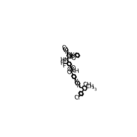 CC1(C)CCC(c2ccc(Cl)cc2)=C(CN2CCN(c3ccc(C(=O)NS(=O)(=O)c4ccc(NC(CCN5CCOCC5)CS(=O)(=O)Nc5ccccc5)c(C(F)(F)F)c4)cc3)CC2)C1